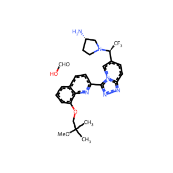 COC(C)(C)COc1cccc2ccc(-c3nnc4ccc([C@@H](N5CC[C@H](N)C5)C(F)(F)F)cn34)nc12.O=CO